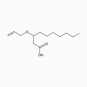 C=CCOC(CCCCCCC)CC(=O)O